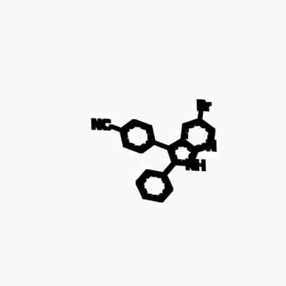 N#Cc1ccc(-c2c(-c3ccccc3)[nH]c3ncc(Br)cc23)cc1